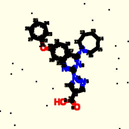 O=C(O)c1cnn(-c2nc(N3CCCCCC3)c3ccc(Oc4ccccc4)cc3n2)c1